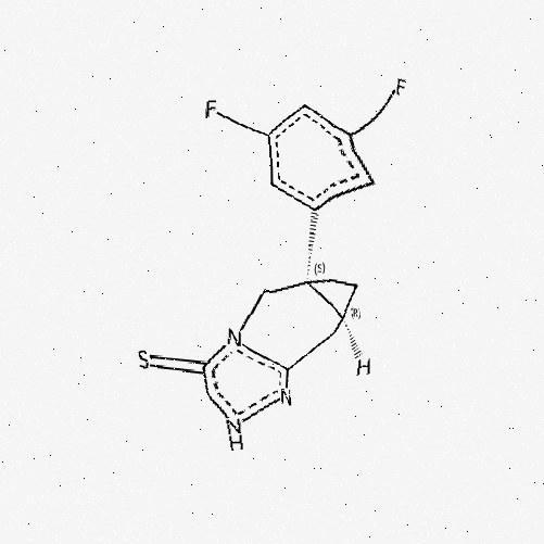 Fc1cc(F)cc([C@]23C[C@H]2c2n[nH]c(=S)n2C3)c1